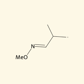 [CH2]C(C)C=NOC